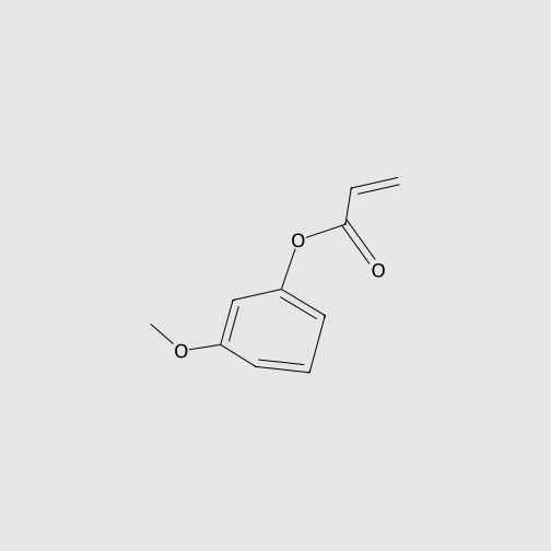 C=CC(=O)Oc1cccc(OC)c1